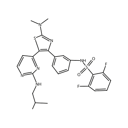 CC(C)CNc1nccc(-c2sc(N(C)C)nc2-c2cccc(NS(=O)(=O)c3c(F)cccc3F)c2)n1